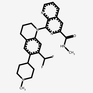 CNC(=O)c1cc2cccnc2c(N2CCCc3cc(C4CCN(C)CC4)c(C(F)F)cc32)n1